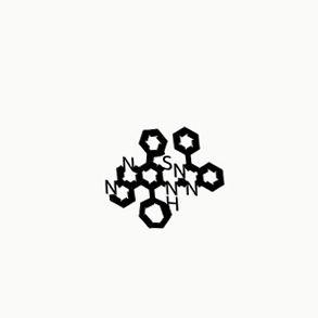 C1#CC(c2c(Nc3nc(-c4ccccc4)c4ccccc4n3)c3sc4ccccc4c3c3ncc4ncccc4c23)=CC=CC1